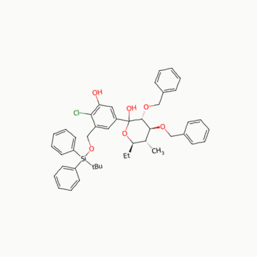 CC[C@H]1OC(O)(c2cc(O)c(Cl)c(CO[Si](c3ccccc3)(c3ccccc3)C(C)(C)C)c2)[C@H](OCc2ccccc2)[C@@H](OCc2ccccc2)[C@@H]1C